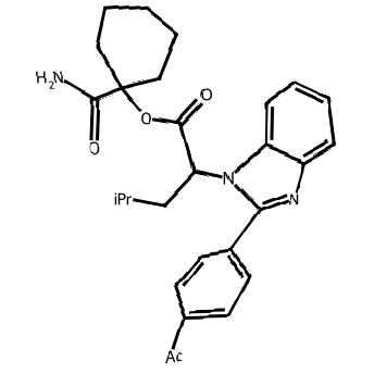 CC(=O)c1ccc(-c2nc3ccccc3n2C(CC(C)C)C(=O)OC2(C(N)=O)CCCCC2)cc1